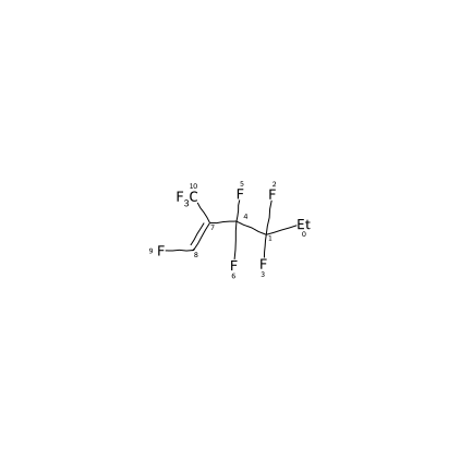 CCC(F)(F)C(F)(F)C(=CF)C(F)(F)F